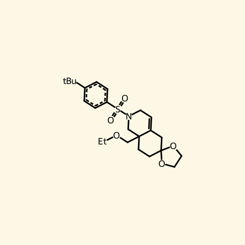 CCOCC12CCC3(CC1=CCN(S(=O)(=O)c1ccc(C(C)(C)C)cc1)C2)OCCO3